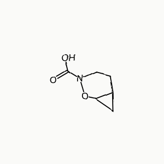 O=C(O)N1CCC2CC2O1